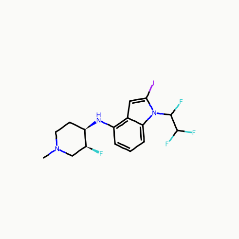 CN1CC[C@@H](Nc2cccc3c2cc(I)n3C(F)C(F)F)[C@@H](F)C1